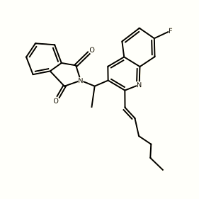 CCCC/C=C/c1nc2cc(F)ccc2cc1C(C)N1C(=O)c2ccccc2C1=O